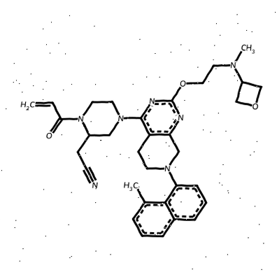 C=CC(=O)N1CCN(c2nc(OCCN(C)C3COC3)nc3c2CCN(c2cccc4cccc(C)c24)C3)CC1CC#N